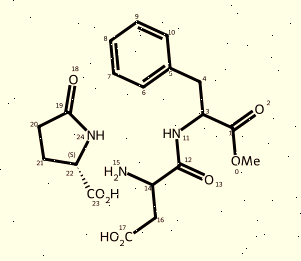 COC(=O)C(Cc1ccccc1)NC(=O)C(N)CC(=O)O.O=C1CC[C@@H](C(=O)O)N1